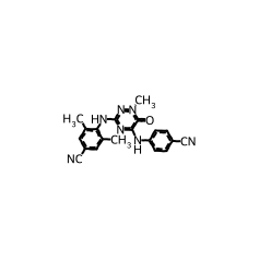 Cc1cc(C#N)cc(C)c1Nc1nc(Nc2ccc(C#N)cc2)c(=O)n(C)n1